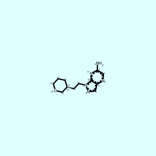 Nc1cnc2cnn(CC[C@@H]3CCCOC3)c2n1